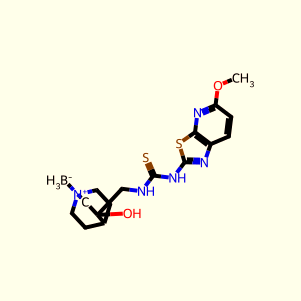 [BH3-][N+]12CCC(CC1)C(O)(CNC(=S)Nc1nc3ccc(OC)nc3s1)C2